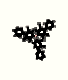 Cc1cc(-c2ccccc2)c(C)c(C)c1B(c1c(C)c(C)c(-c2ccccc2)c(C)c1C)c1c(C)c(C)c(-c2ccccc2)c(C)c1C